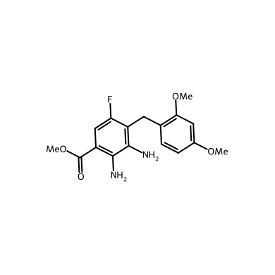 COC(=O)c1cc(F)c(Cc2ccc(OC)cc2OC)c(N)c1N